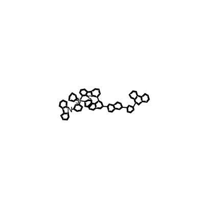 c1ccc([Si](c2ccccc2)(c2cccc(-n3c4ccccc4c4ccccc43)c2)c2cccc3c2sc2c(-c4cc(-c5ccc6cc(-c7cccc(-c8cc9ccccc9c9ccccc89)c7)ccc6c5)cc5ccccc45)cccc23)cc1